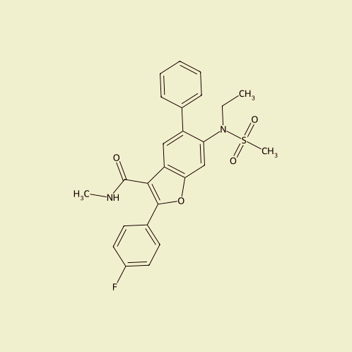 CCN(c1cc2oc(-c3ccc(F)cc3)c(C(=O)NC)c2cc1-c1ccccc1)S(C)(=O)=O